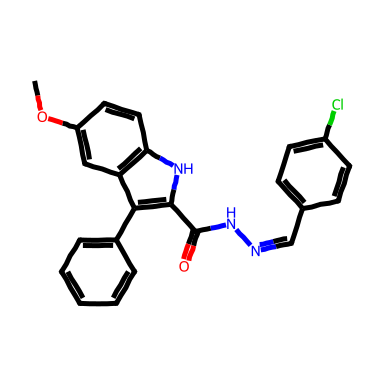 COc1ccc2[nH]c(C(=O)N/N=C\c3ccc(Cl)cc3)c(-c3ccccc3)c2c1